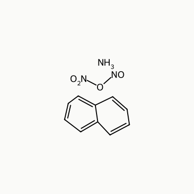 N.O=NO[N+](=O)[O-].c1ccc2ccccc2c1